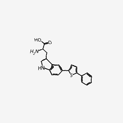 NC(CC1CNc2ccc(-c3ccc(-c4ccccc4)s3)cc21)C(=O)O